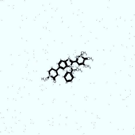 C=C1C(C)=CC(c2nc3ccc(C4CCN(C)C(=O)C4)cc3n2[C@@H](C)c2ccccc2)=NN1C